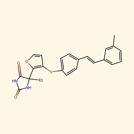 CCC1(c2occc2Sc2ccc(/C=C/c3cccc(C)c3)cc2)NC(=O)NC1=O